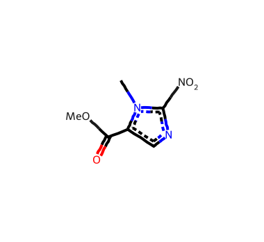 COC(=O)c1cnc([N+](=O)[O-])n1C